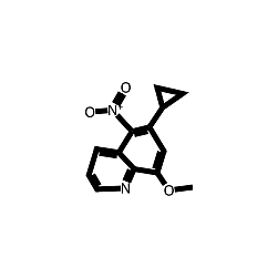 COc1cc(C2CC2)c([N+](=O)[O-])c2cccnc12